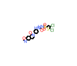 O=C(Nc1ccc(-n2ccc3cc4ncoc4cc3c2=O)cc1)NS(=O)(=O)c1cc(Cl)c(Cl)s1